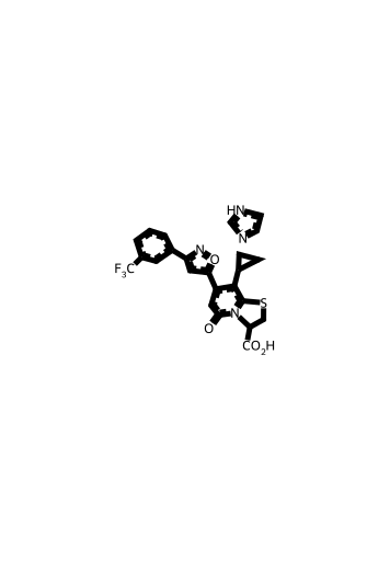 O=C(O)C1CSc2c(C3CC3)c(-c3cc(-c4cccc(C(F)(F)F)c4)no3)cc(=O)n21.c1c[nH]cn1